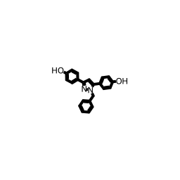 Oc1ccc(-c2cc(-c3ccc(O)cc3)n(Cc3ccccc3)n2)cc1